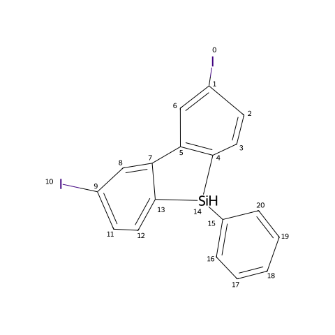 Ic1ccc2c(c1)-c1cc(I)ccc1[SiH]2c1ccccc1